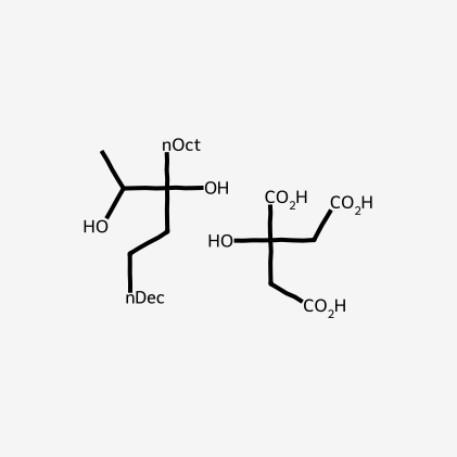 CCCCCCCCCCCCC(O)(CCCCCCCC)C(C)O.O=C(O)CC(O)(CC(=O)O)C(=O)O